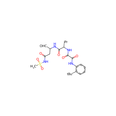 CC(C)C(NC(=O)C(=O)Nc1ccccc1C(C)(C)C)C(=O)NC(C=O)CC(=O)NS(C)(=O)=O